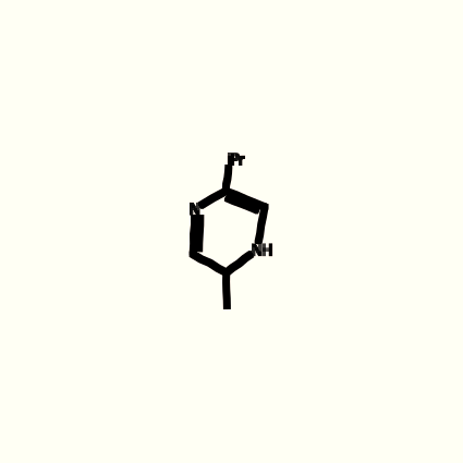 CC1C=NC(C(C)C)=CN1